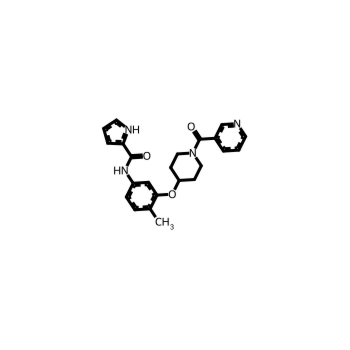 Cc1ccc(NC(=O)c2ccc[nH]2)cc1OC1CCN(C(=O)c2cccnc2)CC1